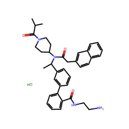 CC(C)C(=O)N1CCC(N(C(=O)Cc2ccc3ccccc3c2)C(C)c2cccc(-c3ccccc3C(=O)NCCN)c2)CC1.Cl